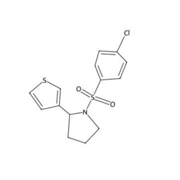 O=S(=O)(c1ccc(Cl)cc1)N1CCCC1c1ccsc1